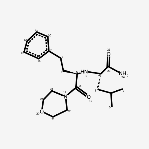 CC(C)C[C@H](N[C@H](CCc1ccccc1)C(=O)N1CCOCC1)C(N)=O